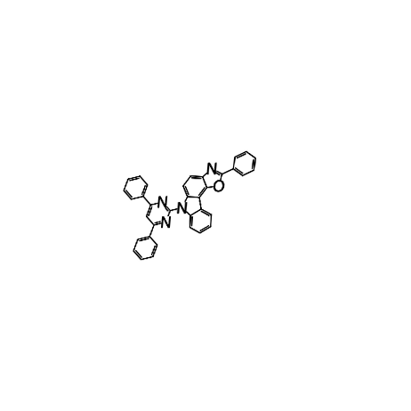 c1ccc(-c2cc(-c3ccccc3)nc(-n3c4ccccc4c4c5oc(-c6ccccc6)nc5ccc43)n2)cc1